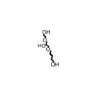 OCCCCCOCC(O)COCCO